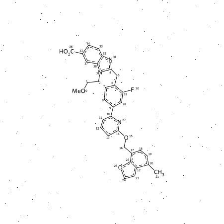 COCCn1c(Cc2ccc(-c3cccc(OCc4ccc(C)c5ccoc45)n3)cc2F)nc2ccc(C(=O)O)cc21